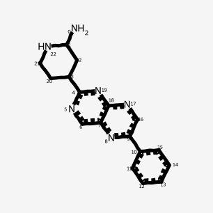 NC1CC(c2ncc3nc(-c4ccccc4)cnc3n2)CCN1